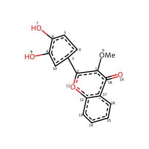 COc1c(-c2ccc(O)c(O)c2)oc2ccccc2c1=O